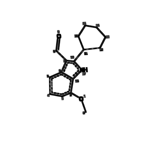 COc1cccc2c(C=O)c(C3CCCCC3)[nH]c12